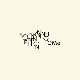 COc1ccc(Nc2ncc3nc(Nc4c(F)cc(F)cc4F)n(C4CCN(C)CC4)c3n2)cc1